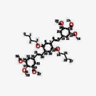 CCCCOc1cc(C=Cc2cc(OC)c(OC)c(OC)c2)c(OCCCC)cc1C=Cc1cc(OC)c(OC)c(OC)c1